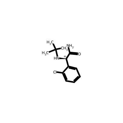 CC(C)(C)N[C@@H](C(N)=O)c1ccccc1Cl